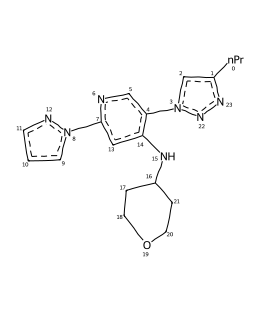 CCCc1cn(-c2cnc(-n3cccn3)cc2NC2CCOCC2)nn1